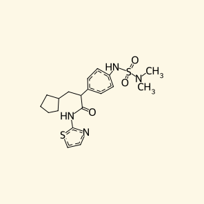 CN(C)S(=O)(=O)Nc1ccc(C(CC2CCCC2)C(=O)Nc2nccs2)cc1